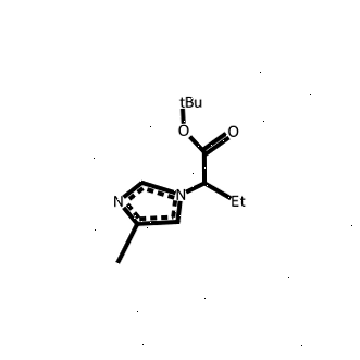 CCC(C(=O)OC(C)(C)C)n1cnc(C)c1